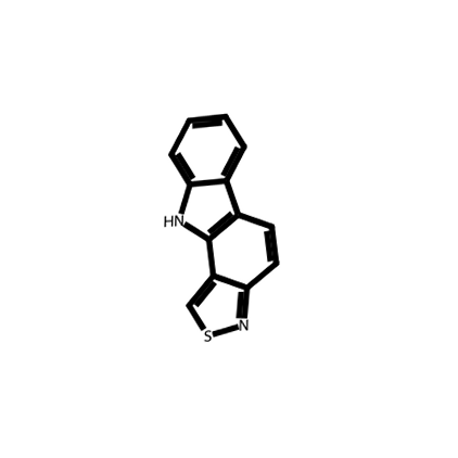 c1ccc2c(c1)[nH]c1c3csnc3ccc21